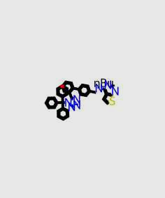 CCCCN(Cc1ccc(-c2ccccc2-c2nnnn2C(c2ccccc2)(c2ccccc2)c2ccccc2)cc1)c1ncnc2sccc12